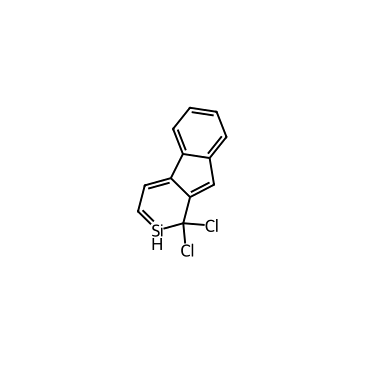 ClC1(Cl)[SiH]=CC=C2C1=Cc1ccccc12